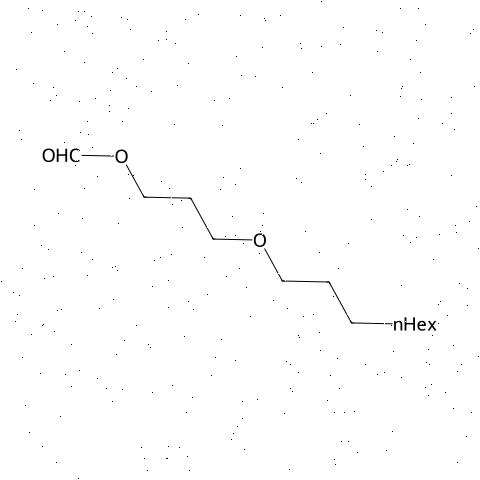 CCCCCCCCCOCCCOC=O